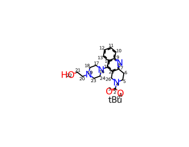 CC(C)(C)OC(=O)N1CCc2nc3ccccc3c(N3CCN(CCO)CC3)c2C1